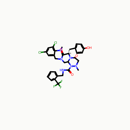 CN(C)c1c(Cl)cc(Cl)cc1CN1CC2N(C(=O)CN(C)N2C(=O)NCc2ccccc2C(F)(F)F)[C@@H](Cc2ccc(O)cc2)C1=O